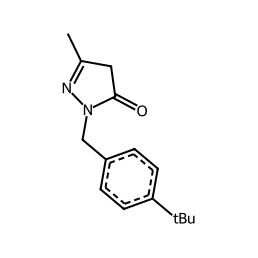 CC1=NN(Cc2ccc(C(C)(C)C)cc2)C(=O)C1